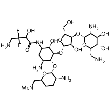 CNC[C@@H]1CC[C@@H](N)[C@@H](O[C@H]2[C@H](O[C@@H]3O[C@H](CO)[C@@H](O[C@H]4O[C@@H](CN)[C@@H](O)[C@H](O)[C@H]4N)[C@H]3O)[C@@H](O)[C@H](NC(=O)C(O)C(F)(F)CN)C[C@@H]2N)O1